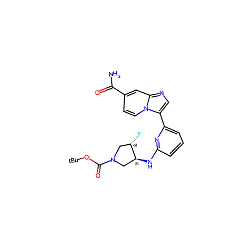 CC(C)(C)OC(=O)N1C[C@H](Nc2cccc(-c3cnc4cc(C(N)=O)ccn34)n2)[C@@H](F)C1